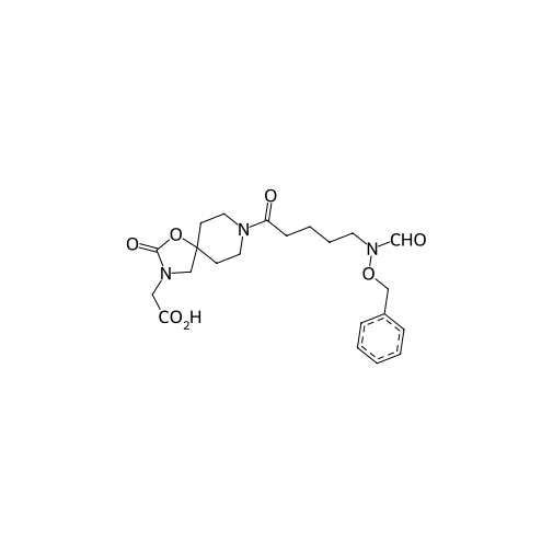 O=CN(CCCCC(=O)N1CCC2(CC1)CN(CC(=O)O)C(=O)O2)OCc1ccccc1